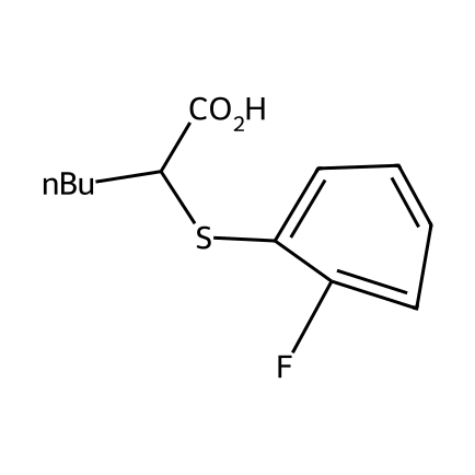 CCCCC(Sc1ccccc1F)C(=O)O